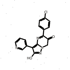 O=C1Cn2nc(O)c(-c3cccnc3)c2N=C1c1ccc(Cl)cc1